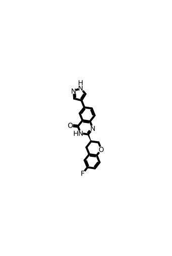 O=c1[nH]c([C@H]2COc3ccc(F)cc3C2)nc2ccc(-c3cn[nH]c3)cc12